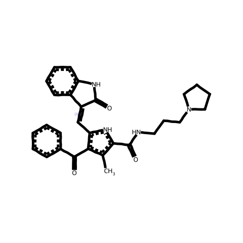 Cc1c(C(=O)NCCCN2CCCC2)[nH]c(/C=C2\C(=O)Nc3ccccc32)c1C(=O)c1ccccc1